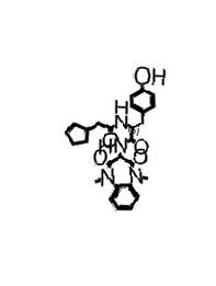 CN1C(=O)C(NC(=O)[C@H](Cc2ccc(O)cc2)NC(=O)CC2CCCC2)C(=O)N(C)c2ccccc21